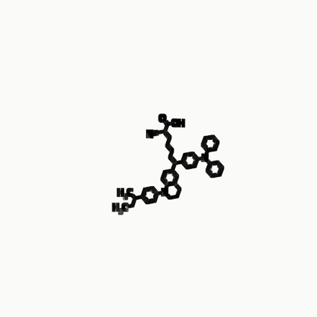 CCC(C)c1ccc(N2CCCc3cc(/C(=C/C=C/C=C(\C#N)C(=O)O)c4ccc(N(c5ccccc5)c5ccccc5)cc4)ccc32)cc1